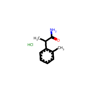 Cc1ccccc1C(C)C(N)=O.Cl